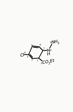 CCOC(=O)C1C=C(Cl)C=CC1NN